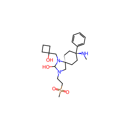 CN[C@]1(c2ccccc2)CC[C@]2(CC1)CN(CCS(C)(=O)=O)C(O)N2CC1(O)CCC1